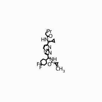 CC(C)CC(=O)N[C@@H](c1ccn2cc([C@@H](NC(=O)[C@@H]3C[C@H]3C)C3CCC(F)(F)CC3)nc2n1)C1CC1